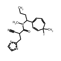 CCCC(C1=CC=CC(C)(I)C=C1)N(C)C(=O)C(C#N)Cc1nccs1